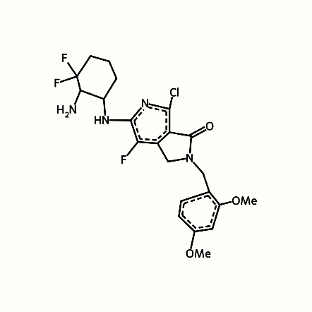 COc1ccc(CN2Cc3c(F)c(NC4CCCC(F)(F)C4N)nc(Cl)c3C2=O)c(OC)c1